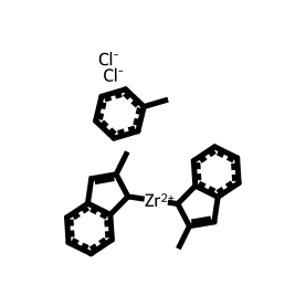 CC1=Cc2ccccc2[CH]1[Zr+2][CH]1C(C)=Cc2ccccc21.Cc1ccccc1.[Cl-].[Cl-]